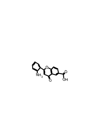 Nc1ccccc1-c1cc(=O)c2cc(C(=O)O)ccc2o1